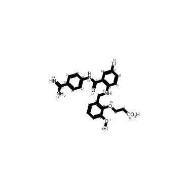 CCOc1cccc(CNc2ccc(Cl)cc2C(=O)Nc2ccc(C(=N)N)cc2)c1OCCC(=O)O